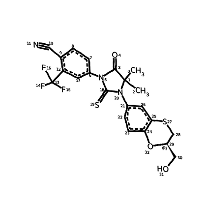 CC1(C)C(=O)N(c2ccc(C#N)c(C(F)(F)F)c2)C(=S)N1c1ccc2c(c1)SC[C@@H](CO)O2